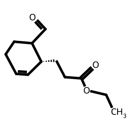 CCOC(=O)CC[C@@H]1C=CCCC1C=O